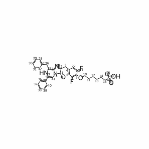 O=c1c(Cc2cc(F)c(OCCCCCCS(=O)(=O)O)c(F)c2)nc2c(Cc3ccccc3)[nH]c(-c3ccccc3)cn1-2